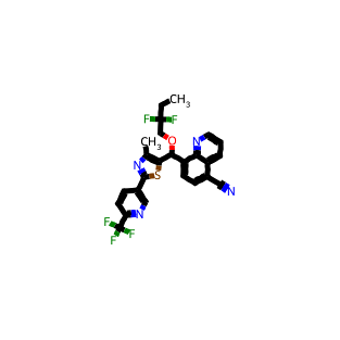 CCC(F)(F)COC(c1sc(-c2ccc(C(F)(F)F)nc2)nc1C)c1ccc(C#N)c2cccnc12